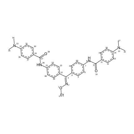 CCON=C(c1ccc(NC(=O)c2ccc(N(C)C)cc2)cc1)c1ccc(NC(=O)c2ccc(N(C)C)cc2)cc1